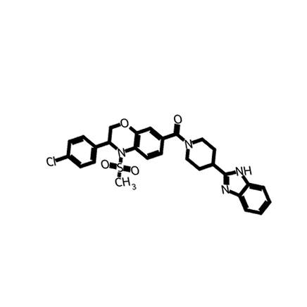 CS(=O)(=O)N1c2ccc(C(=O)N3CCC(c4nc5ccccc5[nH]4)CC3)cc2OCC1c1ccc(Cl)cc1